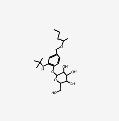 CCSC(C)OCc1ccc(OC2OC(CO)C(O)C(O)C2O)c(NC(C)(C)C)c1